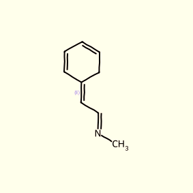 CN=C/C=C1/C=CC=CC1